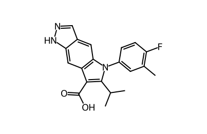 Cc1cc(-n2c(C(C)C)c(C(=O)O)c3cc4[nH]ncc4cc32)ccc1F